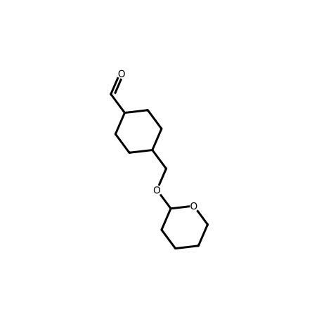 O=CC1CCC(COC2CCCCO2)CC1